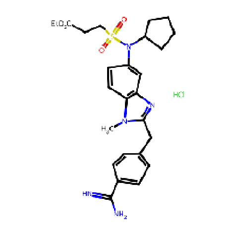 CCOC(=O)CCS(=O)(=O)N(c1ccc2c(c1)nc(Cc1ccc(C(=N)N)cc1)n2C)C1CCCC1.Cl